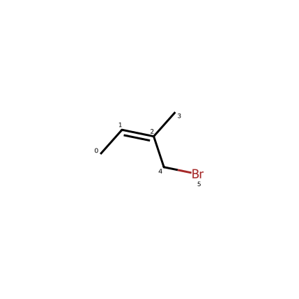 C/C=C(/C)CBr